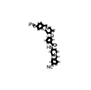 CC(C)Oc1ccc(CN2CCC(Oc3cccc(C(=O)NC4CCN(Cc5ccc(C#N)cc5)CC4)c3)C(F)C2)cc1